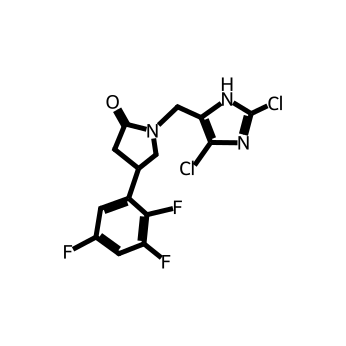 O=C1CC(c2cc(F)cc(F)c2F)CN1Cc1[nH]c(Cl)nc1Cl